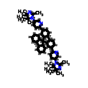 CC1=NC(C)(C)C(C)(C)N1c1ccc(-c2ccc3c(c2)C2(c4ccccc4-c4ccccc42)c2cc(-c4ccc(N5C(C)=NC(C)(C)C5(C)C)cn4)ccc2-3)nc1